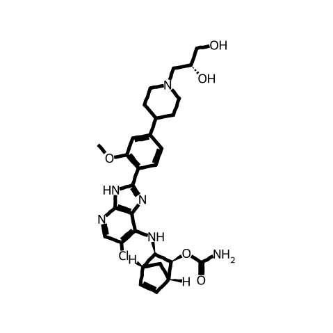 COc1cc(C2CCN(C[C@@H](O)CO)CC2)ccc1-c1nc2c(N[C@H]3[C@@H](OC(N)=O)[C@@H]4C=C[C@H]3C4)c(Cl)cnc2[nH]1